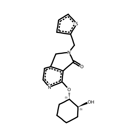 O=C1c2c(ccnc2O[C@H]2CCCC[C@@H]2O)CN1Cc1cccs1